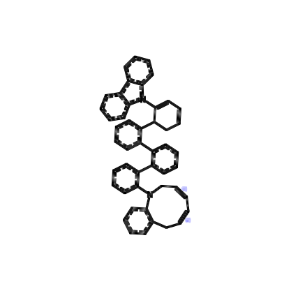 C1=CCC(c2ccccc2-c2ccccc2-c2ccccc2N2C/C=C\C=C/Cc3ccccc32)C(n2c3ccccc3c3ccccc32)=C1